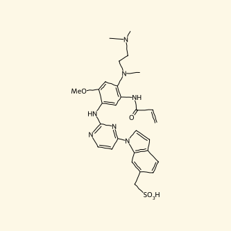 C=CC(=O)Nc1cc(Nc2nccc(-n3ccc4ccc(CS(=O)(=O)O)cc43)n2)c(OC)cc1N(C)CCN(C)C